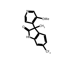 COc1cnccc1C1(C)C(=O)Nc2cc(C(F)(F)F)ccc21